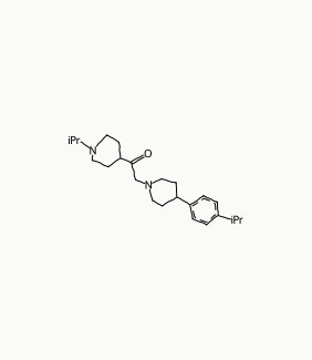 CC(C)c1ccc(C2CCN(CC(=O)C3CCN(C(C)C)CC3)CC2)cc1